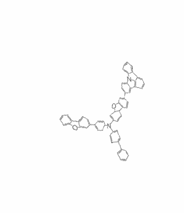 C1=CC(N(C2=CC3Oc4cc(-c5ccc6c(c5)c5cccc7c8ccccc8n6c75)ccc4C3C=C2)c2ccc(-c3ccccc3)cc2)CC=C1c1ccc2c(c1)oc1ccccc12